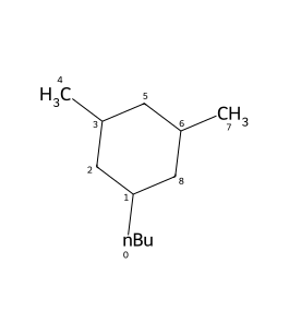 C[CH]CCC1CC(C)CC(C)C1